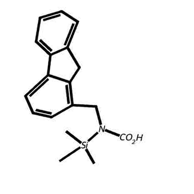 C[Si](C)(C)N(Cc1cccc2c1Cc1ccccc1-2)C(=O)O